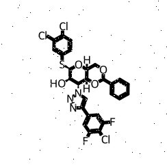 O[C@@H]1[C@@H](n2cc(-c3cc(F)c(Cl)c(F)c3)nn2)[C@H]2OC(c3ccccc3)OC[C@H]2O[C@@H]1Sc1ccc(Cl)c(Cl)c1